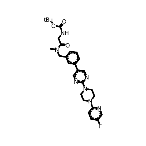 CN(Cc1cccc(-c2cnc(N3CCN(c4ccc(F)cn4)CC3)nc2)c1)C(=O)CNC(=O)OC(C)(C)C